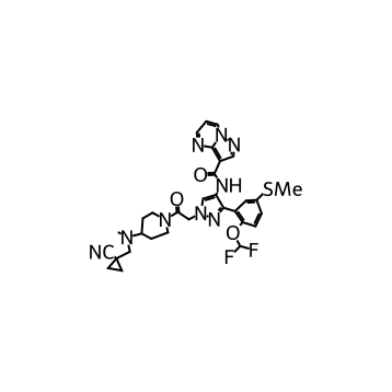 CSc1ccc(OC(F)F)c(-c2nn(CC(=O)N3CCC(N(C)CC4(C#N)CC4)CC3)cc2NC(=O)c2cnn3cccnc23)c1